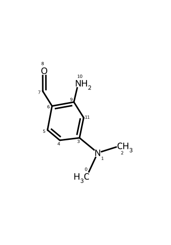 CN(C)c1ccc(C=O)c(N)c1